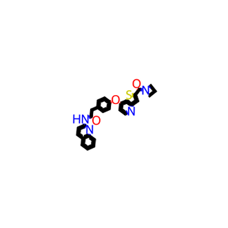 O=C(Cc1ccc(Oc2ccnc3cc(C(=O)N4CCC4)sc23)cc1)Nc1ccc2ccccc2n1